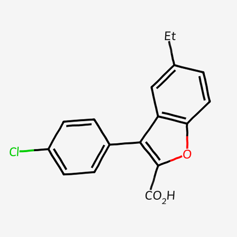 CCc1ccc2oc(C(=O)O)c(-c3ccc(Cl)cc3)c2c1